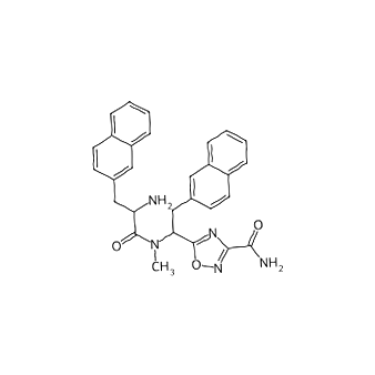 CN(C(=O)C(N)Cc1ccc2ccccc2c1)C(Cc1ccc2ccccc2c1)c1nc(C(N)=O)no1